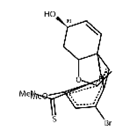 CNC(=S)N1CCC23C=C[C@H](O)CC2Oc2c(OC)cc(Br)c(c23)C1